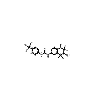 CN1c2ccc(NC(=S)Nc3ccc(C(F)(F)F)cc3)cc2C(C)(C)C(O)C1(C)C